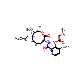 CCOCC(=O)Oc1c(OC)ccnc1C(=O)N[C@H]1CCC[C@H](CCOC)[C@@H](OCC(C)C)[C@H](C)OC1=O